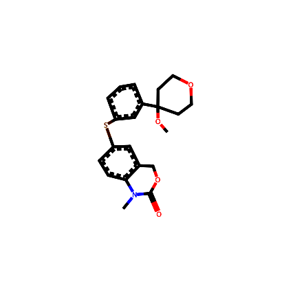 COC1(c2cccc(Sc3ccc4c(c3)COC(=O)N4C)c2)CCOCC1